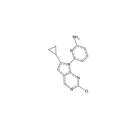 Nc1cccc(-n2c(C3CC3)cc3cnc(Cl)nc32)n1